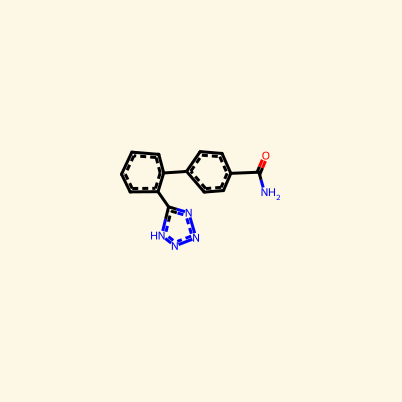 NC(=O)c1ccc(-c2ccccc2-c2nnn[nH]2)cc1